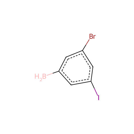 Bc1cc(Br)cc(I)c1